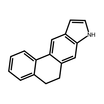 c1ccc2c(c1)CCc1cc3[nH]ccc3cc1-2